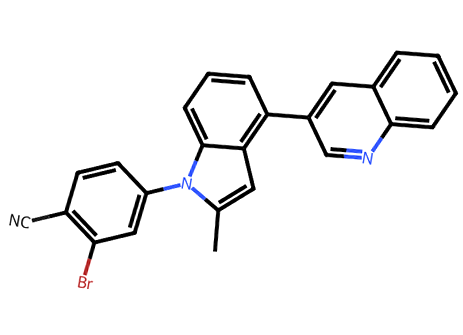 Cc1cc2c(-c3cnc4ccccc4c3)cccc2n1-c1ccc(C#N)c(Br)c1